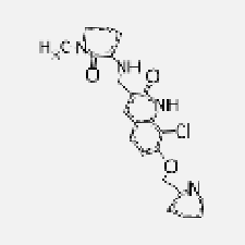 Cn1cccc(NCc2cc3ccc(OCc4ccccn4)c(Cl)c3[nH]c2=O)c1=O